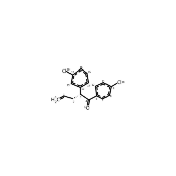 C=CC[C@@H](C(=O)c1ccc(Cl)cc1)c1cccc(Cl)c1